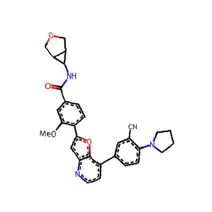 COc1cc(C(=O)NC2C3COCC32)ccc1-c1cc2nccc(-c3ccc(N4CCCC4)c(C#N)c3)c2o1